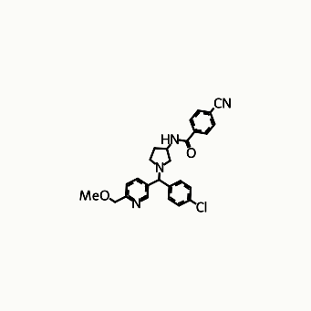 COCc1ccc(C(c2ccc(Cl)cc2)N2CCC(NC(=O)c3ccc(C#N)cc3)C2)cn1